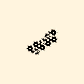 CCCc1c(Sc2cccc([C@H](c3ccccc3)[C@H]3CN(Cc4ccccc4)CCO3)c2CCC)cccc1C(c1ccccc1)[C@H]1CN(Cc2ccccc2)CCO1